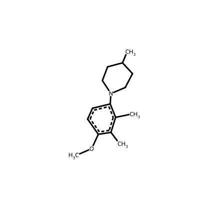 COc1ccc(N2CCC(C)CC2)c(C)c1C